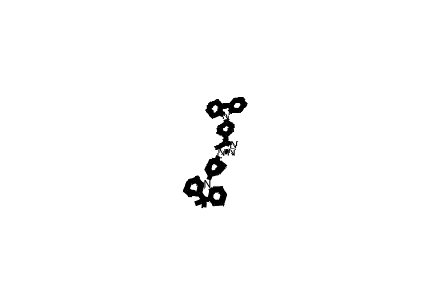 CC1(C)c2ccccc2N(c2ccc(-n3cc(-c4ccc(-n5c6ccccc6c6ccccc65)cc4)nn3)cc2)c2ccccc21